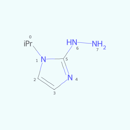 CC(C)n1ccnc1NN